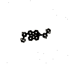 c1ccc2c(c1)-c1ccccc1C21c2cc(-c3cncc(C4=NCCO4)c3)ccc2-c2ccc3cc(-c4cncc(C5=NCCO5)c4)ccc3c21